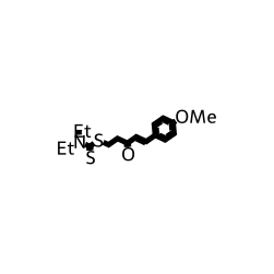 CCN(CC)C(=S)SCCC(=O)C=Cc1ccc(OC)cc1